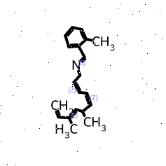 C=C/C(C)=C/C(C)/C=C\C=C/C/N=C/c1ccccc1C